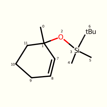 CC1(O[Si](C)(C)C(C)(C)C)C=CCCC1